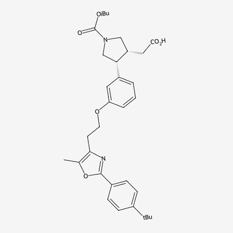 Cc1oc(-c2ccc(C(C)(C)C)cc2)nc1CCOc1cccc([C@@H]2CN(C(=O)OCC(C)C)C[C@@H]2CC(=O)O)c1